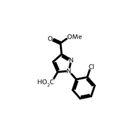 COC(=O)c1cc(C(=O)O)n(-c2ccccc2Cl)n1